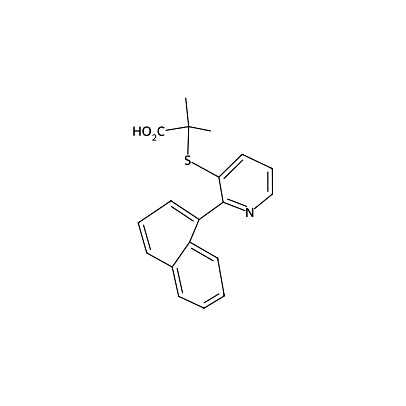 CC(C)(Sc1cccnc1-c1cccc2ccccc12)C(=O)O